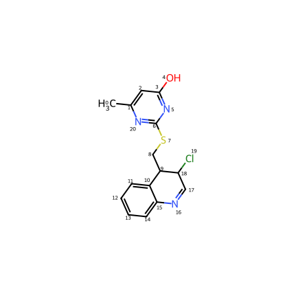 Cc1cc(O)nc(SCC2c3ccccc3N=CC2Cl)n1